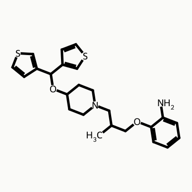 CC(COc1ccccc1N)CN1CCC(OC(c2ccsc2)c2ccsc2)CC1